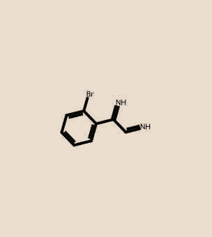 N=CC(=N)c1ccccc1Br